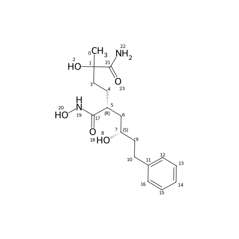 CC(O)(CC[C@H](C[C@@H](O)[CH]Cc1ccccc1)C(=O)NO)C(N)=O